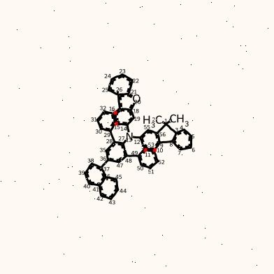 CC1(C)c2ccccc2-c2ccc(N(c3ccc4c(c3)oc3ccccc34)c3c(-c4ccccc4)cc(-c4cccc5ccccc45)cc3-c3ccccc3)cc21